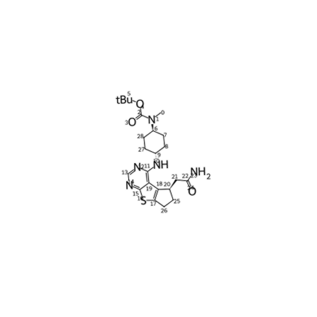 CN(C(=O)OC(C)(C)C)[C@H]1CC[C@H](Nc2ncnc3sc4c(c23)[C@@H](CC(N)=O)CC4)CC1